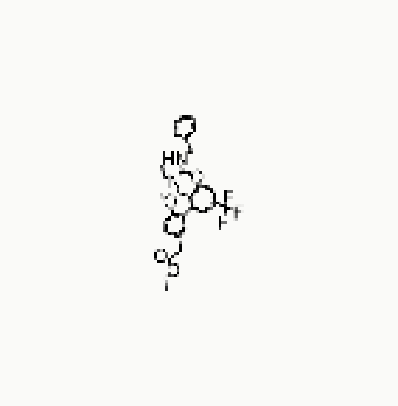 CCOC(=O)Cc1ccc(OC)c(-c2cc(C(F)(F)F)ccc2CN(CC)C(=O)NCc2ccccc2)c1